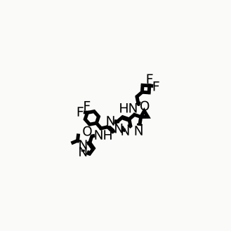 CC(C)n1nccc1C(=O)N[C@H](c1cn2ncc([C@H](NC(=O)CC3CC(F)(F)C3)C3(C#N)CC3)cc2n1)C1CCC(F)(F)CC1